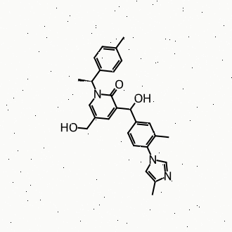 Cc1ccc([C@H](C)n2cc(CO)cc(C(O)c3ccc(-n4cnc(C)c4)c(C)c3)c2=O)cc1